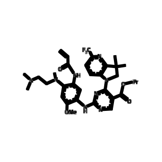 C=CC(=O)Nc1cc(Nc2ncc(C(=O)OC(C)C)c(N3CC(C)(C)c4nc(C(F)(F)F)ccc43)n2)c(OC)cc1N(C)CCN(C)C